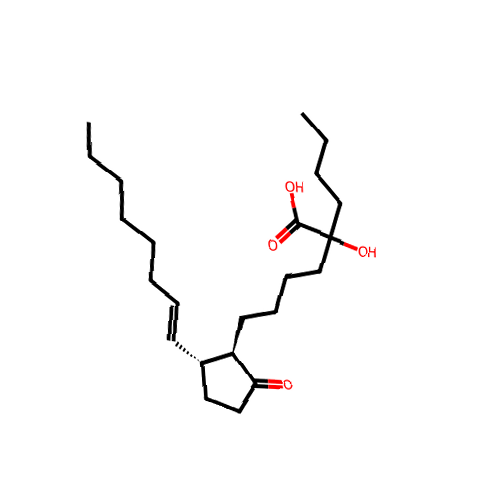 CCCCCCC=C[C@H]1CCC(=O)[C@@H]1CCCCC(O)(CCCC)C(=O)O